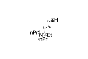 CCCN(CCC)C(CC)CCCS